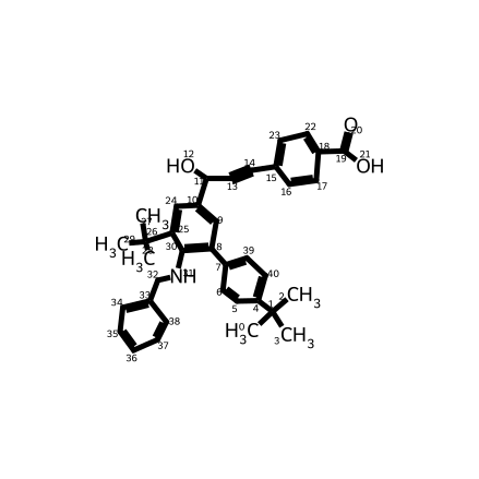 CC(C)(C)c1ccc(-c2cc(C(O)C#Cc3ccc(C(=O)O)cc3)cc(C(C)(C)C)c2NCc2ccccc2)cc1